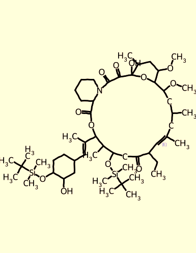 CCC1/C=C(\C)CC(C)CC(OC)C2OC(O)(C(=O)C(=O)N3CCCCC3C(=O)OC(C(C)=CC3CCC(O[Si](C)(C)C(C)(C)C)C(O)C3)C(C)C(O[Si](C)(C)C(C)(C)C)CC1=O)C(C)CC2OC